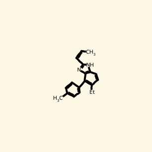 C/C=C\c1nc2c(-c3ccc(C)cc3)c(CC)ccc2[nH]1